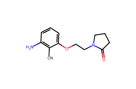 N#Cc1c(N)cccc1OCCN1CCCC1=O